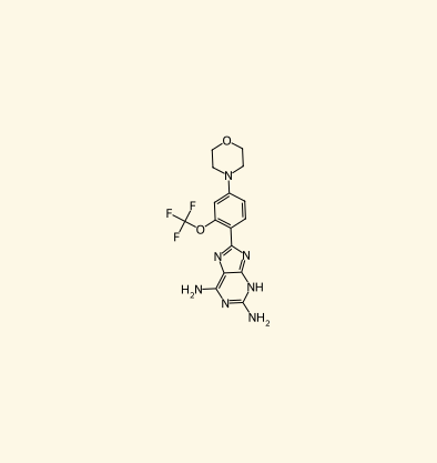 Nc1nc(N)c2nc(-c3ccc(N4CCOCC4)cc3OC(F)(F)F)nc-2[nH]1